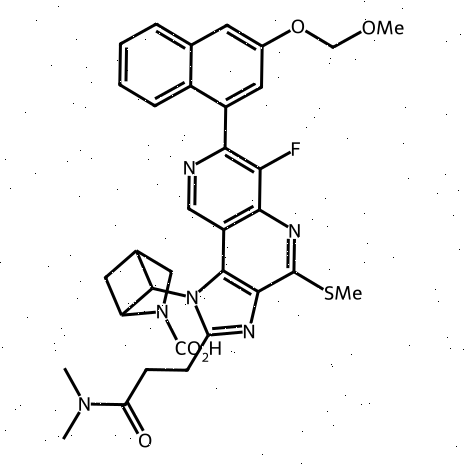 COCOc1cc(-c2ncc3c(nc(SC)c4nc(CCC(=O)N(C)C)n(C5C6CC5N(C(=O)O)C6)c43)c2F)c2ccccc2c1